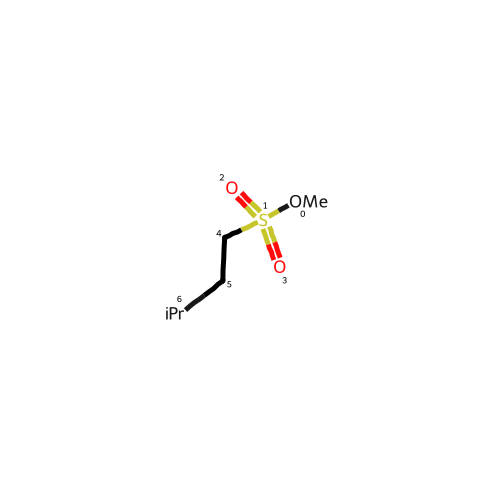 COS(=O)(=O)CCC(C)C